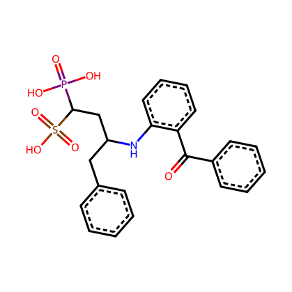 O=C(c1ccccc1)c1ccccc1NC(Cc1ccccc1)CC(P(=O)(O)O)S(=O)(=O)O